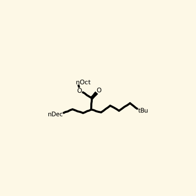 CCCCCCCCCCCCC(CCCCC(C)(C)C)C(=O)OCCCCCCCC